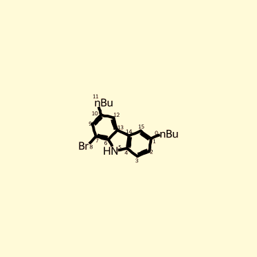 CCCCc1ccc2[nH]c3c(Br)cc(CCCC)cc3c2c1